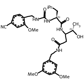 COc1cc(CNC(=O)CC(NC(=O)[C@H](CC(C)C)NC(=O)NCc2ccc(C#N)cc2OC)[C@H](C)O)cc(OC)c1